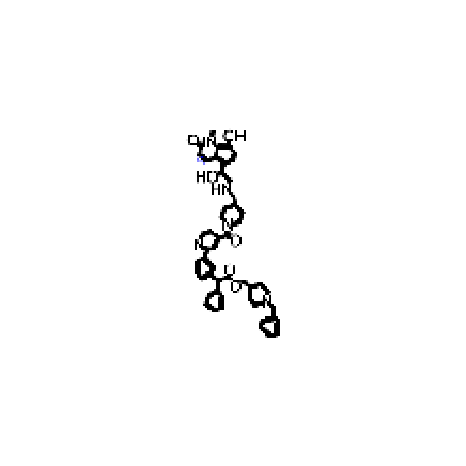 CNc1c(O)ccc(C(O)CNCC2CCN(C(=O)c3ccnc(-c4cccc(C(C(=O)OCC5CCN(Cc6ccccc6)CC5)c5ccccc5)c4)c3)CC2)c1/C=C\C=O